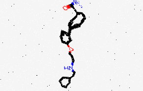 NC(=O)c1cccc(-c2cccc(OCCNCC3CCCCC3)c2)c1